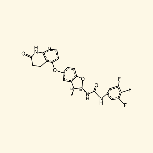 C[C@H]1c2cc(Oc3ccnc4c3CCC(=O)N4)ccc2O[C@H]1NC(=O)Nc1cc(F)c(F)c(F)c1